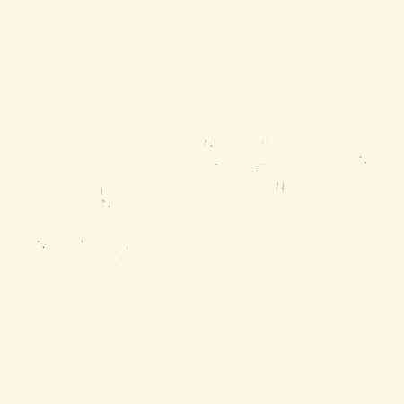 N#CCCN(C(=O)CC(N)c1ccc(C(=O)Nc2ccncc2)cc1)C1CC1